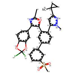 Cc1nc(-c2ccc3c(c2)OC(F)(F)O3)c(-c2cc(-c3cccc(S(C)(=O)=O)c3)ccc2-c2cc(C3(C#N)CC3)nn2C)o1